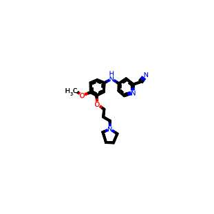 COc1ccc(Nc2ccnc(C#N)c2)cc1OCCCN1CCCC1